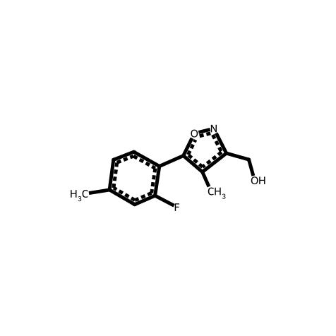 Cc1ccc(-c2onc(CO)c2C)c(F)c1